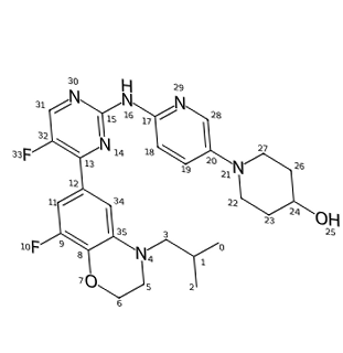 CC(C)CN1CCOc2c(F)cc(-c3nc(Nc4ccc(N5CCC(O)CC5)cn4)ncc3F)cc21